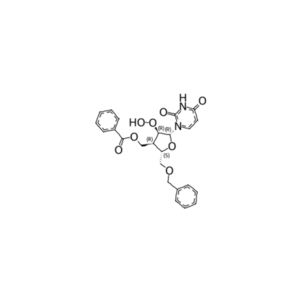 O=C(OC[C@H]1[C@@H](OO)[C@H](n2ccc(=O)[nH]c2=O)O[C@@H]1COCc1ccccc1)c1ccccc1